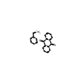 C=Cc1ccccc1.O=C1c2ccccc2C(=O)c2ccccc21